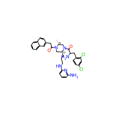 C[C@@H]1CN(C(=O)C(N)Cc2ccc(Cl)cc2Cl)[C@@H](CCCNc2cccc(N)n2)CN1C(=O)Cc1ccc2ccccc2c1